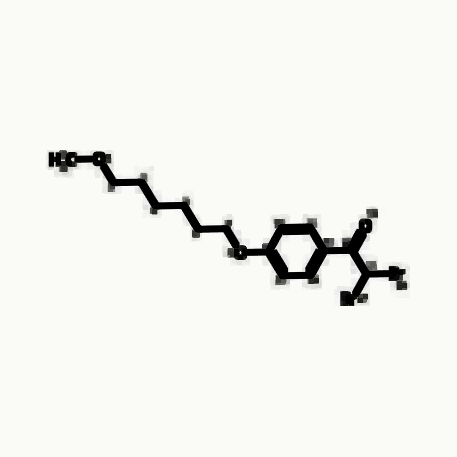 COCCCCCCOc1ccc(C(=O)C(Br)Br)cc1